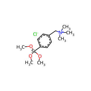 CO[Si](OC)(OC)c1ccc(C[N+](C)(C)C)cc1.[Cl-]